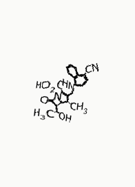 C[C@H]1C(CNc2ccc(C#N)c3ccccc23)=C(C(=O)O)N2C(=O)[C@H]([C@@H](C)O)C12